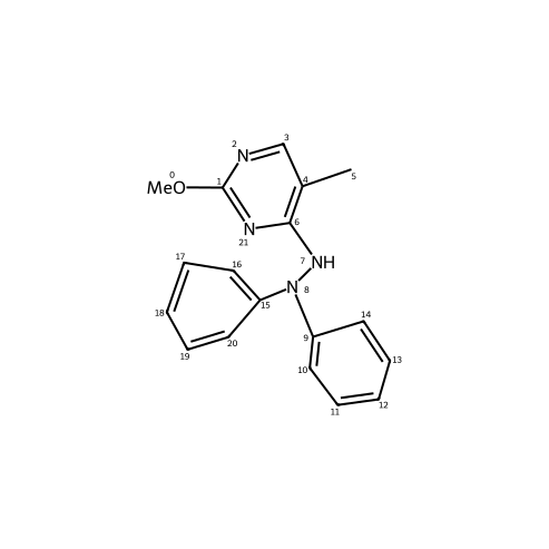 COc1ncc(C)c(NN(c2ccccc2)c2ccccc2)n1